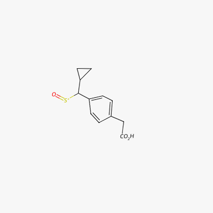 O=[S+]C(c1ccc(CC(=O)O)cc1)C1CC1